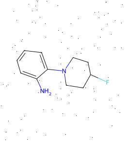 Nc1ccccc1N1CCC(F)CC1